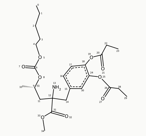 CCCCCOC(=O)O[C@@H](C)CC(N)(Cc1ccc(OC(=O)CC)c(OC(=O)CC)c1)C(=O)OC